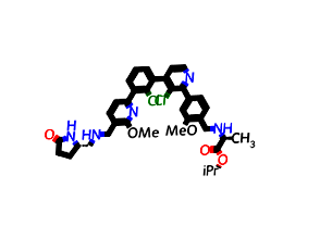 COc1cc(-c2nccc(-c3cccc(-c4ccc(CNC[C@@H]5CCC(=O)N5)c(OC)n4)c3Cl)c2Cl)ccc1CN[C@@H](C)C(=O)OC(C)C